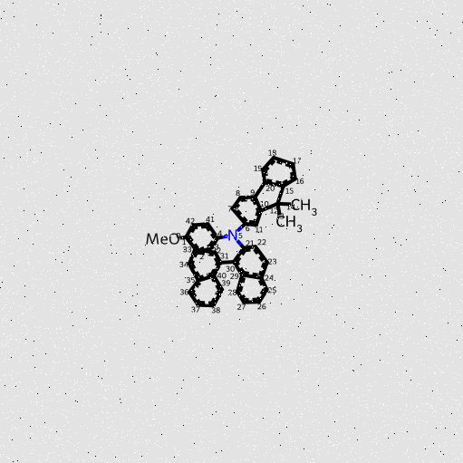 COc1ccc(N(c2ccc3c(c2)C(C)(C)c2ccccc2-3)c2ccc3ccccc3c2-c2cccc3ccccc23)cc1